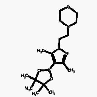 Cc1nn(CCN2CCOCC2)c(C)c1B1OC(C)(C)C(C)(C)O1